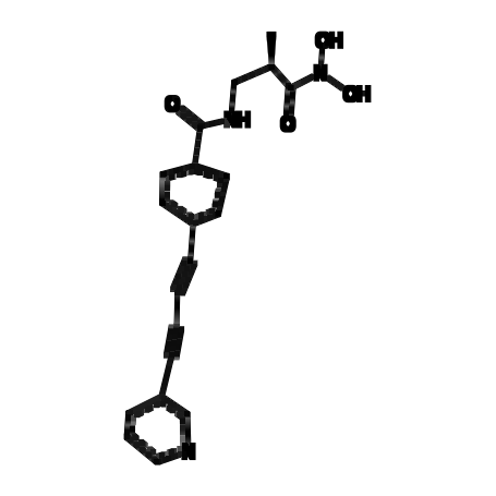 C[C@H](CNC(=O)c1ccc(C#CC#Cc2cccnc2)cc1)C(=O)N(O)O